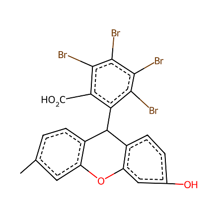 Cc1ccc2c(c1)Oc1cc(O)ccc1C2c1c(Br)c(Br)c(Br)c(Br)c1C(=O)O